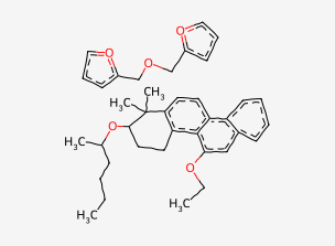 CCCCC(C)OC1CCc2c(ccc3c2c(OCC)cc2ccccc23)C1(C)C.c1coc(COCc2ccco2)c1